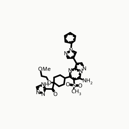 COCCOC1(C(=O)c2nnc[nH]2)CCC(c2nc3c(-c4cnn(-c5ccccc5)c4)cnn3c(N)c2S(C)(=O)=O)CC1